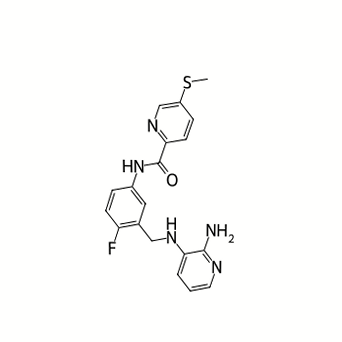 CSc1ccc(C(=O)Nc2ccc(F)c(CNc3cccnc3N)c2)nc1